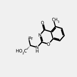 Cc1cccc2oc(N[C@H](C(=O)O)C(C)C)nc(=O)c12